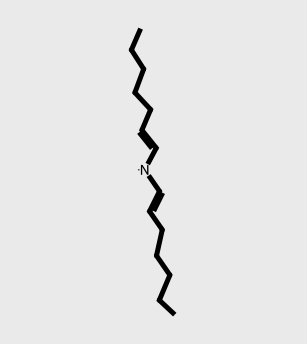 CCCCCC=C[N]C=CCCCCC